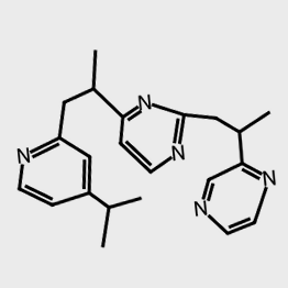 CC(C)c1ccnc(CC(C)c2ccnc(CC(C)c3cnccn3)n2)c1